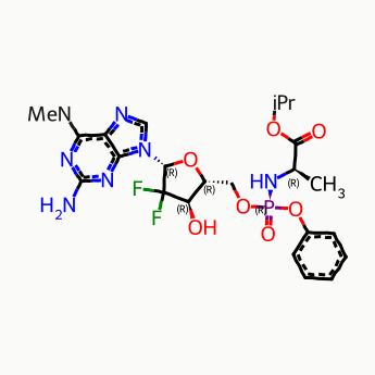 CNc1nc(N)nc2c1ncn2[C@@H]1O[C@H](CO[P@](=O)(N[C@H](C)C(=O)OC(C)C)Oc2ccccc2)[C@@H](O)C1(F)F